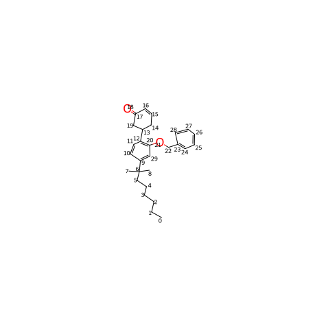 CCCCCCC(C)(C)c1ccc(C2CC=CC(=O)C2)c(OCc2ccccc2)c1